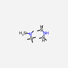 CN([SiH3])[Si](C)(C)C.C[SiH](C)N[SiH](C)C